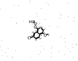 COc1cnc(OOO)c2cc(Cl)ccc12